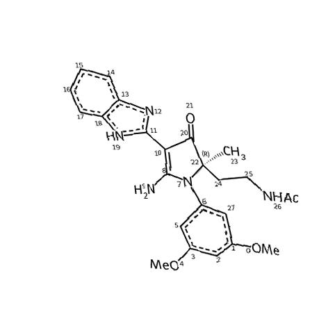 COc1cc(OC)cc(N2C(N)=C(c3nc4ccccc4[nH]3)C(=O)[C@@]2(C)CCNC(C)=O)c1